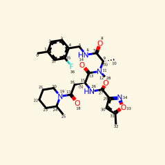 Cc1ccc(CNC(=O)[C@H](C)N(C)C(=O)[C@H](CC(=O)N2CCCCC2C)NC(=O)c2cc(C)on2)c(F)c1